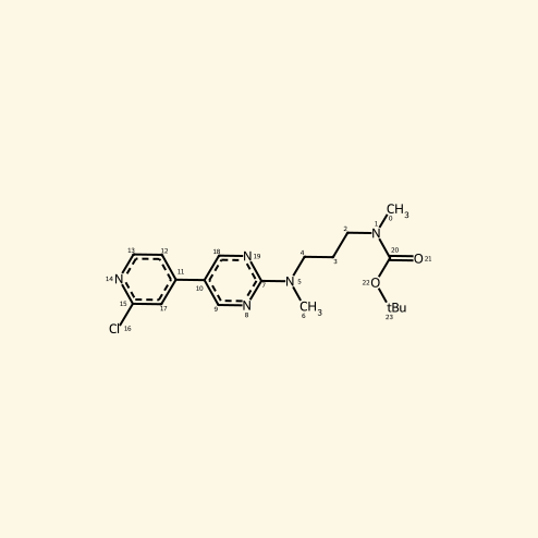 CN(CCCN(C)c1ncc(-c2ccnc(Cl)c2)cn1)C(=O)OC(C)(C)C